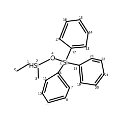 CC[SiH](C)O[Si](c1ccccc1)(c1ccccc1)c1ccccc1